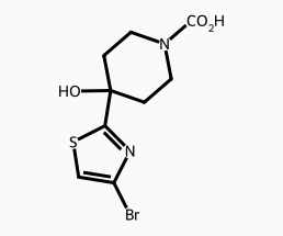 O=C(O)N1CCC(O)(c2nc(Br)cs2)CC1